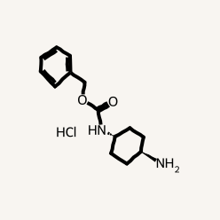 Cl.N[C@H]1CC[C@H](NC(=O)OCc2ccccc2)CC1